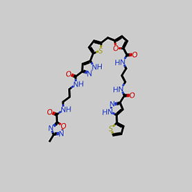 Cc1noc(C(=O)NCCCNC(=O)c2cc(-c3ccc(Cc4ccc(C(=O)NCCCNC(=O)c5cc(-c6cccs6)[nH]n5)o4)s3)[nH]n2)n1